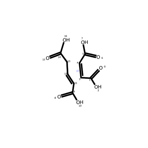 O=C(O)/C=C\C(=O)O.O=C(O)C=CCC(=O)O